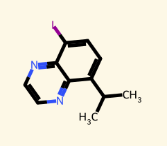 CC(C)c1ccc(I)c2nccnc12